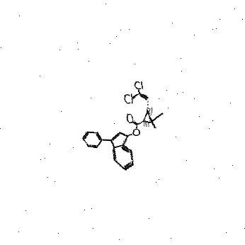 CC1(C)[C@@H](C=C(Cl)Cl)[C@@H]1C(=O)OC1C=C(c2ccccc2)c2ccccc21